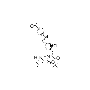 CC(=O)N1CCN(C(=O)Oc2ccc(CC(NC(=O)C(N)CC(C)C)C(=O)OC(C)(C)C)cc2)CC1.Cl